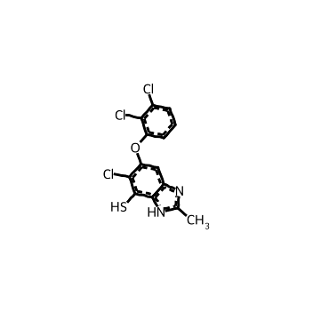 Cc1nc2cc(Oc3cccc(Cl)c3Cl)c(Cl)c(S)c2[nH]1